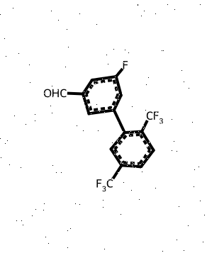 O=Cc1cc(F)cc(-c2cc(C(F)(F)F)ccc2C(F)(F)F)c1